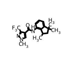 CC1CC(C)(C)c2cccc(NC(=O)c3cn(C)nc3C(F)(F)F)c21